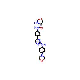 O=C(Nc1ccc(-c2ccnc(Nc3ccc(N4CCOCC4)cc3)n2)cc1)[C@H]1CCOCN1